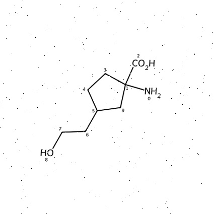 NC1(C(=O)O)CCC(CCO)C1